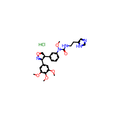 COc1cc(-c2nocc2-c2cccc(N(OC)C(=O)NCCc3cnc[nH]3)c2)cc(OC)c1OC.Cl